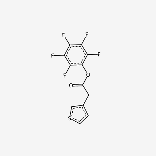 O=C(Cc1ccsc1)Oc1c(F)c(F)c(F)c(F)c1F